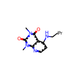 CC(C)CNc1ccnc2c1c(=O)n(C)c(=O)n2C